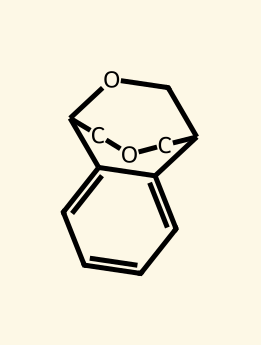 c1ccc2c(c1)C1COCC2OC1